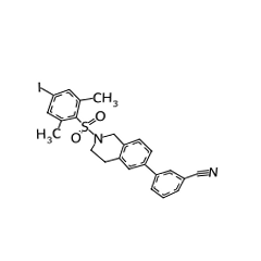 Cc1cc(I)cc(C)c1S(=O)(=O)N1CCc2cc(-c3cccc(C#N)c3)ccc2C1